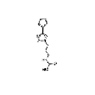 O=C(O)NCCCc1nc(-c2cccs2)no1